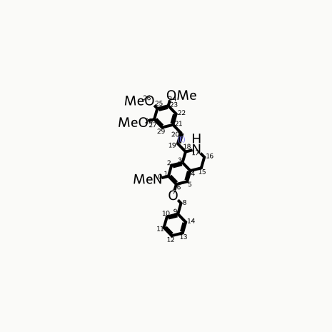 CNc1cc2c(cc1OCc1ccccc1)CCNC2/C=C/c1cc(OC)c(OC)c(OC)c1